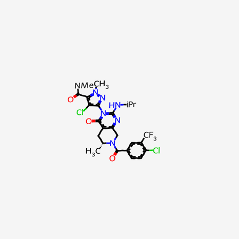 CNC(=O)c1c(Cl)c(-n2c(NC(C)C)nc3c(c2=O)C[C@@H](C)N(C(=O)c2ccc(Cl)c(C(F)(F)F)c2)C3)nn1C